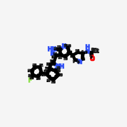 CCC(=O)NC1=CN=CC(c2cnc3[nH]nc(-c4cc5c(-c6cccc(F)c6)cccc5[nH]4)c3c2)C1